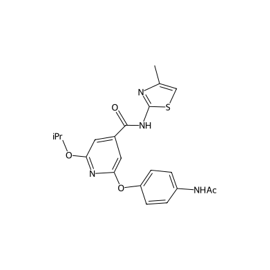 CC(=O)Nc1ccc(Oc2cc(C(=O)Nc3nc(C)cs3)cc(OC(C)C)n2)cc1